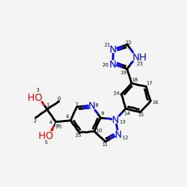 CC(C)(O)[C@H](O)c1cnc2c(cnn2-c2cccc(-c3nnc[nH]3)c2)c1